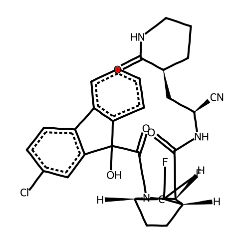 N#C[C@H](C[C@@H]1CCCNC1=O)NC(=O)[C@@H]1[C@@H]2CC[C@@H](CC2(F)F)N1C(=O)C1(O)c2ccccc2-c2ccc(Cl)cc21